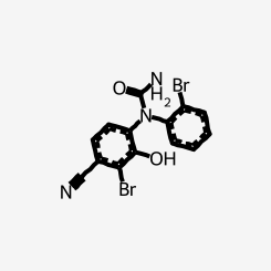 N#Cc1ccc(N(C(N)=O)c2ccccc2Br)c(O)c1Br